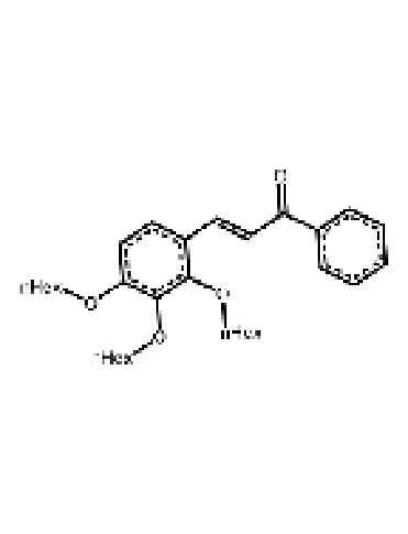 CCCCCCOc1ccc(C=CC(=O)c2ccccc2)c(OCCCCCC)c1OCCCCCC